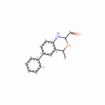 CC1OC(C=O)Nc2ccc(-c3ccccc3)cc21